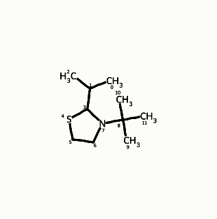 CC(C)C1SCCN1C(C)(C)C